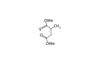 COC(=O)CC(C)C(=S)OC